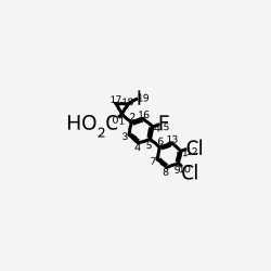 O=C(O)C1(c2ccc(-c3ccc(Cl)c(Cl)c3)c(F)c2)CC1I